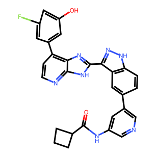 O=C(Nc1cncc(-c2ccc3[nH]nc(-c4nc5c(-c6cc(O)cc(F)c6)ccnc5[nH]4)c3c2)c1)C1CCC1